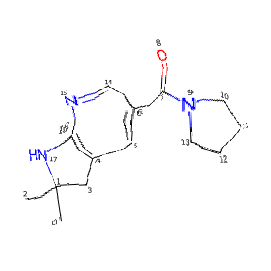 CC1(C)Cc2cc(C(=O)N3CCCC3)cnc2N1